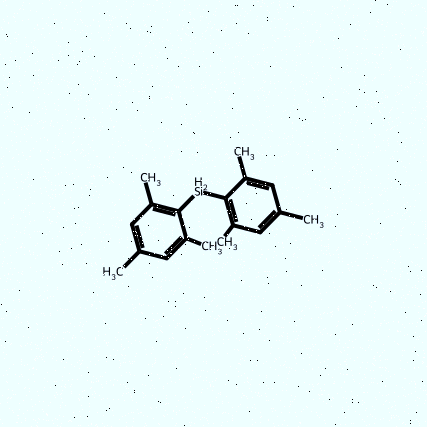 Cc1cc(C)c([SiH2]c2c(C)cc(C)cc2C)c(C)c1